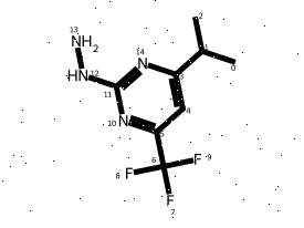 CC(C)c1cc(C(F)(F)F)nc(NN)n1